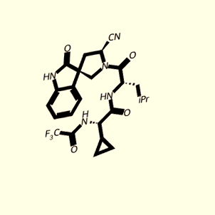 CC(C)C[C@H](NC(=O)[C@@H](NC(=O)C(F)(F)F)C1CC1)C(=O)N1C[C@]2(C[C@H]1C#N)C(=O)Nc1ccccc12